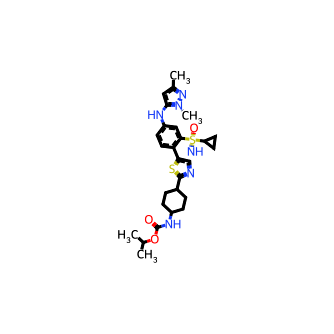 Cc1cc(Nc2ccc(-c3cnc(C4CCC(NC(=O)OC(C)C)CC4)s3)c(S(=N)(=O)C3CC3)c2)n(C)n1